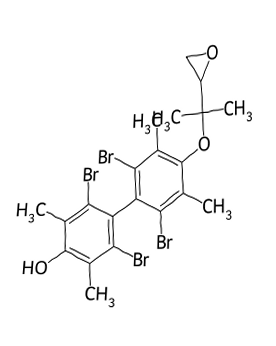 Cc1c(O)c(C)c(Br)c(-c2c(Br)c(C)c(OC(C)(C)C3CO3)c(C)c2Br)c1Br